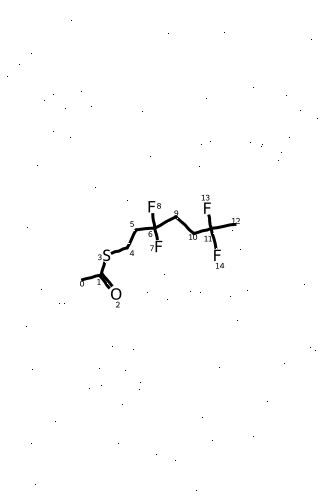 CC(=O)SCCC(F)(F)CCC(C)(F)F